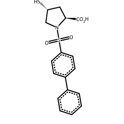 O=C(O)[C@@H]1C[C@@H](S)CN1S(=O)(=O)c1ccc(-c2ccccc2)cc1